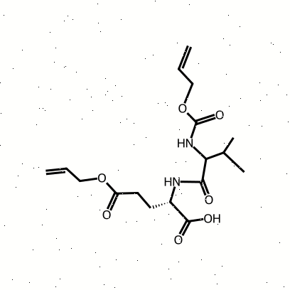 C=CCOC(=O)CC[C@H](NC(=O)C(NC(=O)OCC=C)C(C)C)C(=O)O